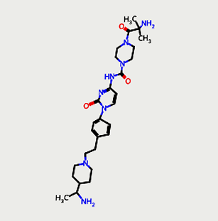 CC(N)C1CCN(CCc2ccc(-n3ccc(NC(=O)N4CCN(C(=O)C(C)(C)N)CC4)nc3=O)cc2)CC1